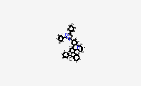 CC1(c2ccccc2)c2ccccc2-c2c1ccc(-c1cccc(-c3cc(-c4ccccc4)nc(-c4ccccc4)n3)c1)c2-c1ccccn1